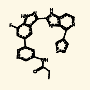 CCC(=O)Nc1cncc(-c2cc(F)c3[nH]nc(-c4nc5c(-c6ccsc6)nccc5[nH]4)c3c2)c1